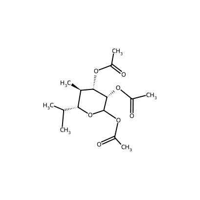 CC(=O)OC1O[C@H](C(C)C)[C@@H](C)[C@H](OC(C)=O)[C@@H]1OC(C)=O